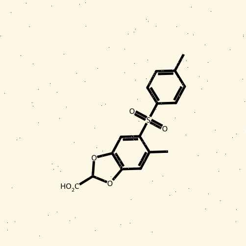 Cc1ccc(S(=O)(=O)c2cc3c(cc2C)OC(C(=O)O)O3)cc1